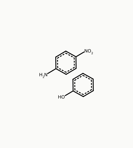 Nc1ccc([N+](=O)[O-])cc1.Oc1ccccc1